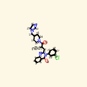 CCCCC(Cc1nc2ccccc2c(=O)n1-c1cccc(Cl)c1)C(=O)N1CCC(Cn2ccnc2)CC1